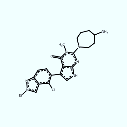 CCn1cc2c(Cl)c(-c3c[nH]c4nc(N5CCCC(N)CC5)n(C)c(=O)c34)ccc2n1